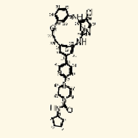 O=C(NC1CCCC1)N1CCN(c2ccc(-c3cc4cc(c3)Nc3ncc(Cl)c(n3)Nc3cccc(c3)OCC4)cn2)CC1